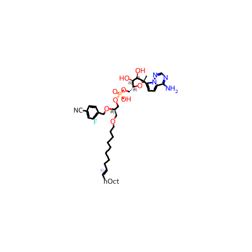 CCCCCCCC/C=C/CCCCCCCCOC[C@H](COP(=O)(O)OC[C@H]1O[C@@](C)(c2ccc3c(N)ncnn23)[C@H](O)[C@@H]1O)OCc1ccc(C#N)cc1F